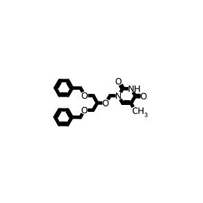 Cc1cn(COC(COCc2ccccc2)COCc2ccccc2)c(=O)[nH]c1=O